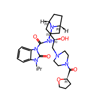 CC(C)n1c(=O)n(C(=O)N[C@@H]2C[C@H]3CC[C@@H](C2)N3C[C@@H](O)CN2CCN(C(=O)[C@H]3CCCO3)CC2)c2ccccc21